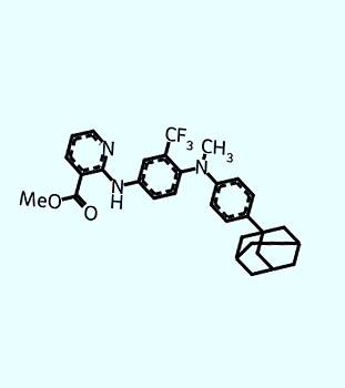 COC(=O)c1cccnc1Nc1ccc(N(C)c2ccc(C34CC5CC(CC(C5)C3)C4)cc2)c(C(F)(F)F)c1